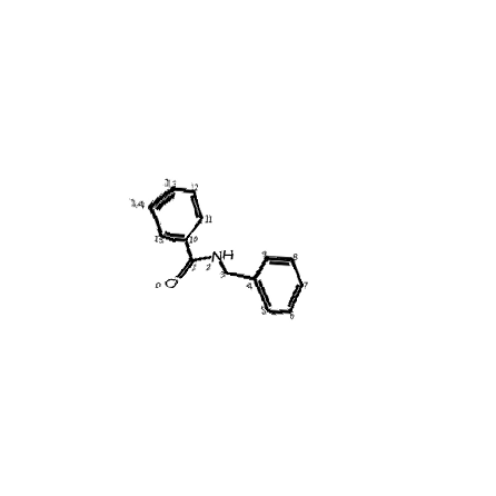 O=C(NCc1ccccc1)c1[c]cccc1